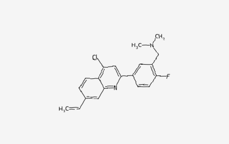 C=Cc1ccc2c(Cl)cc(-c3ccc(F)c(CN(C)C)c3)nc2c1